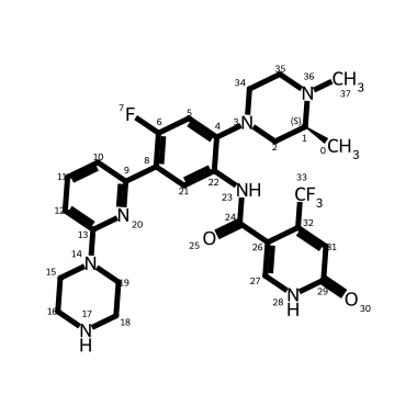 C[C@H]1CN(c2cc(F)c(-c3cccc(N4CCNCC4)n3)cc2NC(=O)c2c[nH]c(=O)cc2C(F)(F)F)CCN1C